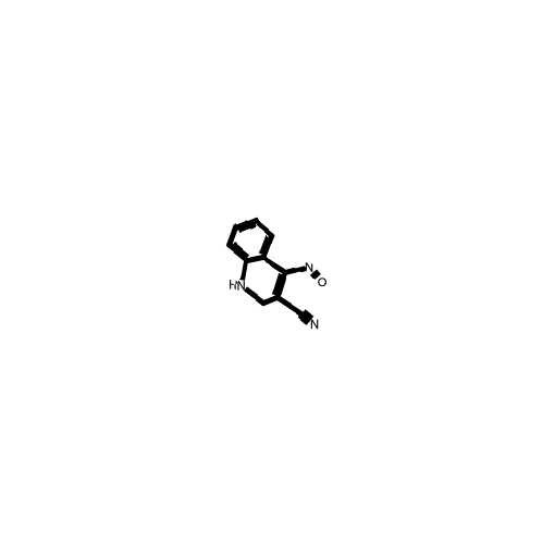 N#CC1=C(N=O)c2ccccc2NC1